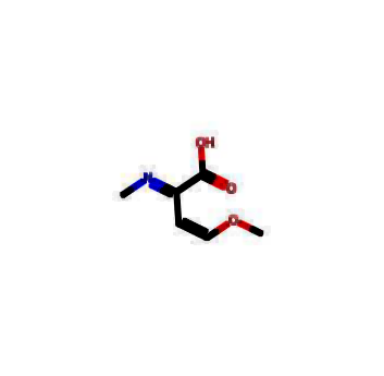 C/N=C(\C=C/OC)C(=O)O